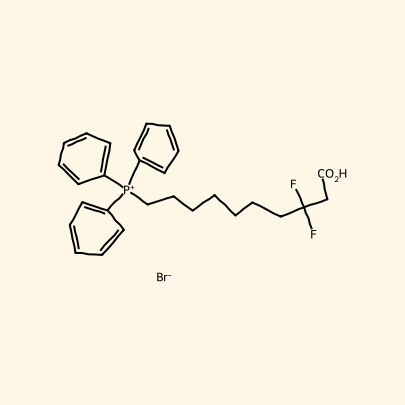 O=C(O)CC(F)(F)CCCCCCC[P+](c1ccccc1)(c1ccccc1)c1ccccc1.[Br-]